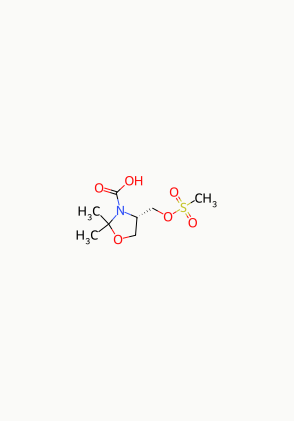 CC1(C)OC[C@@H](COS(C)(=O)=O)N1C(=O)O